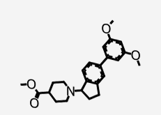 COC(=O)C1CCN(C2CCc3cc(-c4cc(OC)cc(OC)c4)ccc32)CC1